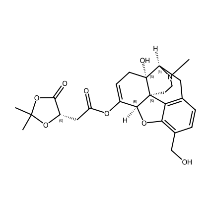 CN1CC[C@]23c4c5ccc(CO)c4O[C@H]2C(OC(=O)C[C@@H]2OC(C)(C)OC2=O)=CC[C@@]3(O)[C@H]1C5